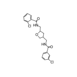 O=C(NCC1COC(CNC(=O)c2ccccc2Cl)C1)c1cccc(Cl)c1